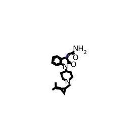 CC(C)=C1CC1CN1CCC(N2C(=O)/C(=C\C(N)=O)c3ccccc32)CC1